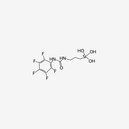 O=C(NCCC[Si](O)(O)O)Nc1c(F)c(F)c(F)c(F)c1F